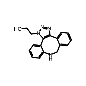 OCCn1nnc2c1-c1ccccc1NCc1ccccc1-2